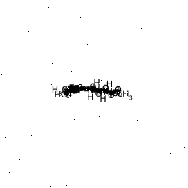 CC(=O)SCC(=O)NCC(=O)NCC(=O)NCC(=O)NCCCCOc1ccc2cc([C@H](C)C(=O)O)ccc2c1